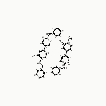 Fc1cc(-c2cnc(Nc3ccccc3)nc2)ccc1OCc1ccccc1.Oc1ccc(-c2cnc(Nc3ccccc3)nc2)cc1F